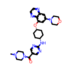 CN1CCN(C(=O)c2cnc(N[C@H]3CC[C@@H](Oc4cc(N5CCOCC5)cc5nccnc45)CC3)nc2)CC1